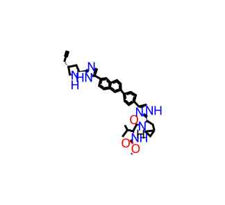 C#CC[C@H]1CN[C@H](c2ncc(-c3ccc4cc(-c5ccc(-c6c[nH]c([C@@H]7CC8C[C@H]8N7C(=O)[C@@H](NC(=O)OC)C(C)C)n6)cc5)ccc4c3)[nH]2)C1